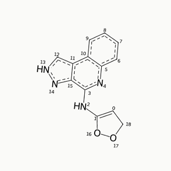 C1=C(Nc2nc3ccccc3c3c[nH]nc23)OOC1